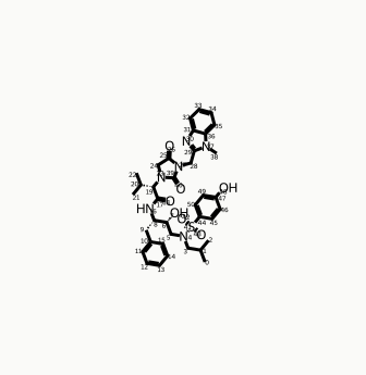 CC(C)CN(C[C@@H](O)[C@H](Cc1ccccc1)NC(=O)[C@H](C(C)C)N1CC(=O)N(Cc2nc3ccccc3n2C)C1=O)S(=O)(=O)c1ccc(O)cc1